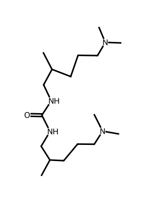 CC(CCCN(C)C)CNC(=O)NCC(C)CCCN(C)C